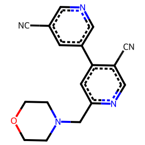 N#Cc1cncc(-c2cc(CN3CCOCC3)ncc2C#N)c1